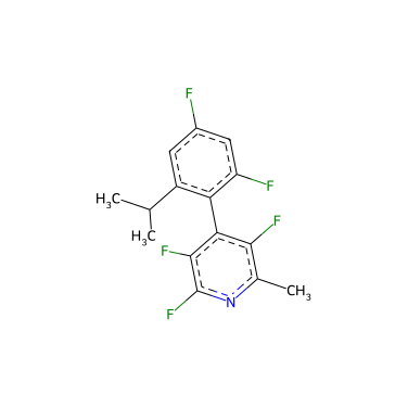 Cc1nc(F)c(F)c(-c2c(F)cc(F)cc2C(C)C)c1F